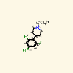 O=C(O)N1CCC(c2c(F)cc(Br)cc2F)CC1